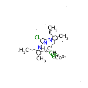 CCCCc1cc(C)cc(CCCC)c1N=Cc1cc(Cl)cc(C=Nc2c(CCCC)cc(C)cc2CCCC)n1.[Cl-].[Cl-].[Cl-].[Co+3]